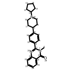 Cn1c(-c2ccc(C3CCN(C4CCCC4)CC3)cc2)nc2ccccc2c1=O